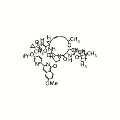 COc1ccc2c(O[C@@H]3C[C@H]4C(=O)N[C@]5(C(=O)NS(=O)(=O)C6(C)CC6)C[C@H]5/C=C\CC[C@@H](C)O[C@@H](C)[C@H](NC(=O)OC(C)(C)C(C)(F)F)C(=O)N4C3)nc(-c3ccc(OC(C)C)cn3)cc2c1